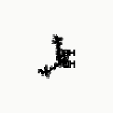 CCC(C)(C)CCCCCc1cc(CCCCC2(C)CC2)c(O)cc1O